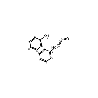 O=S=O.Oc1ccccc1.Oc1ccccc1